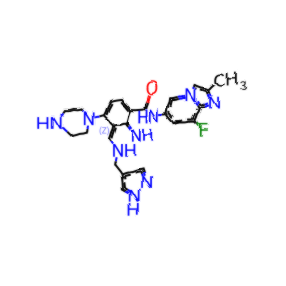 Cc1cn2cc(NC(=O)C3=CC=C(N4CCNCC4)/C(=C/NCc4cn[nH]c4)C3=N)cc(F)c2n1